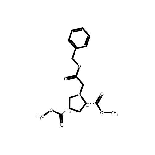 COC(=O)[C@H]1C[C@@H](C(=O)OC)N(CC(=O)OCc2ccccc2)C1